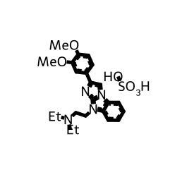 CCN(CC)CCn1c2ccccc2n2cc(-c3ccc(OC)c(OC)c3)nc12.O=S(=O)(O)O